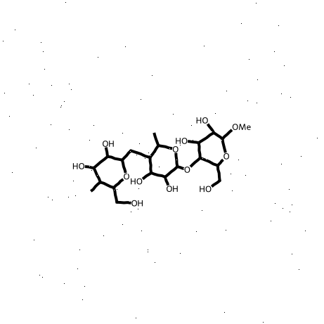 COC1OC(CO)C(OC2OC(C)C(CC3OC(CO)C(C)C(O)C3O)C(O)C2O)C(O)C1O